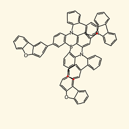 c1ccc(-c2ccccc2N2c3ccc(-c4ccc5oc6ccccc6c5c4)cc3B3c4ccc(-c5ccc6oc7ccccc7c6c5)cc4N(c4ccccc4-c4ccccc4)c4cc(-n5c6ccccc6c6ccccc65)cc2c43)cc1